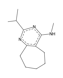 CNc1nc(C(C)C)nc2c1CCCCC2